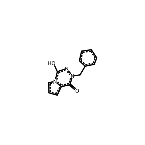 O=c1c2cccn2c(O)nn1Cc1ccccc1